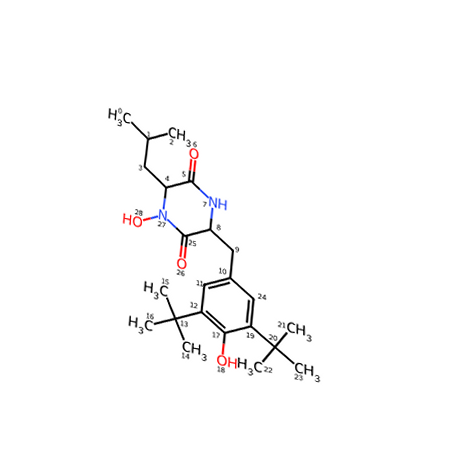 CC(C)CC1C(=O)NC(Cc2cc(C(C)(C)C)c(O)c(C(C)(C)C)c2)C(=O)N1O